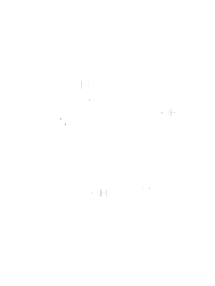 B.Cc1ncc(CO)c(CO)c1O